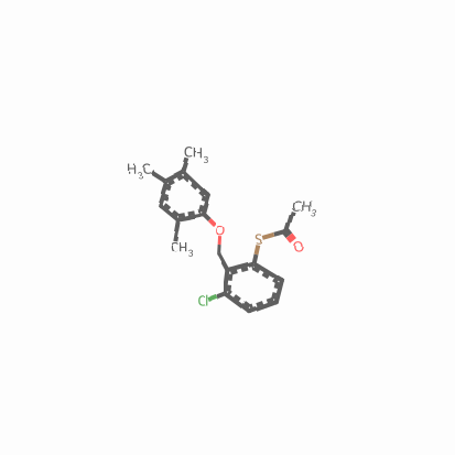 CC(=O)Sc1cccc(Cl)c1COc1cc(C)c(C)cc1C